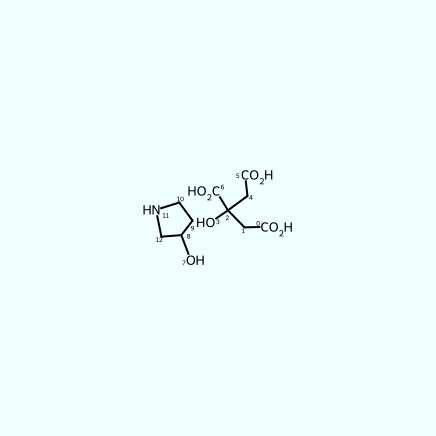 O=C(O)CC(O)(CC(=O)O)C(=O)O.OC1CCNC1